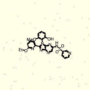 CCOC1=NC(c2nc3ncc(NS(=O)(=O)c4cccnc4)nc3n2-c2c(O)cccc2OC)=C=C=C1